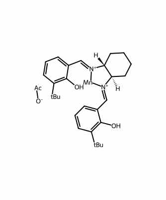 CC(=O)[O-].CC(C)(C)c1cccc(C=[N+]2[Mn][N+](=Cc3cccc(C(C)(C)C)c3O)[C@@H]3CCCC[C@H]32)c1O